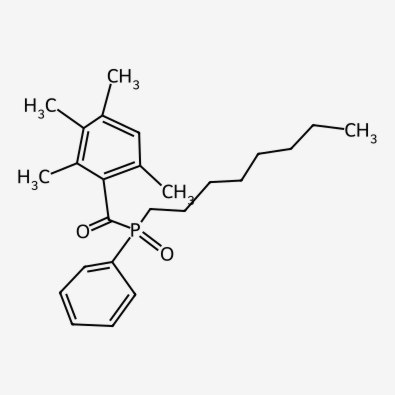 CCCCCCCCP(=O)(C(=O)c1c(C)cc(C)c(C)c1C)c1ccccc1